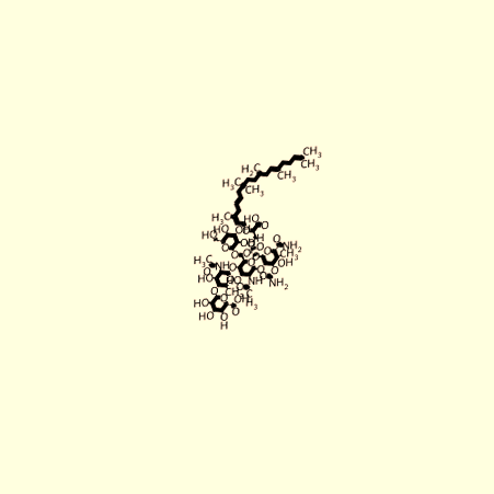 C=C(C/C=C(\C)CCC=C(C)C)CCC(C)(C)C/C=C/C/C(C)=C\CO[C@H](COP(=O)(O)O[C@H]1O[C@H](C(N)=O)[C@@](C)(O)[C@H](OC(N)=O)[C@H]1O[C@@H]1O[C@H](CO[C@@H]2O[C@H](CO)[C@@H](O)[C@H](O)[C@H]2O)[C@@H](O[C@@H]2O[C@H](C)[C@@H](O[C@@H]3O[C@H](C(=O)O)[C@@H](O)[C@H](O)[C@H]3O)[C@H](O)[C@H]2NC(C)=O)[C@H](O)[C@H]1NC(C)=O)C(=O)O